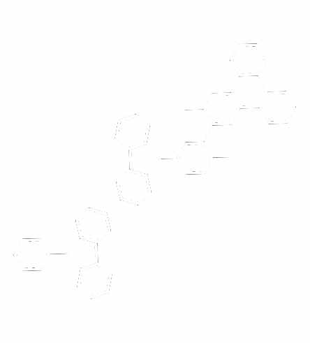 Cc1ccc(-n2c3ccccc3c3cc(-c4ccc5c(c4)c4ccccc4n5-c4ccccc4)ccc32)cc1-c1cc2c3ccccc3c3ccccc3c2cc1C